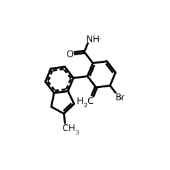 C=C1C(c2cccc3c2C=C(C)C3)=C(C([NH])=O)C=CC1Br